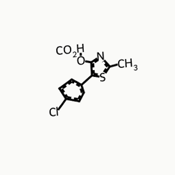 Cc1nc(OC(=O)O)c(-c2ccc(Cl)cc2)s1